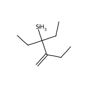 C=C(CC)C([SiH3])(CC)CC